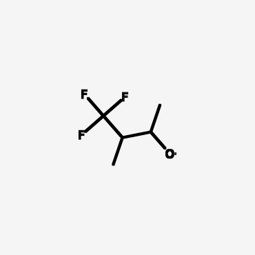 CC([O])C(C)C(F)(F)F